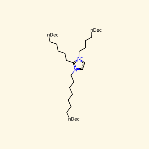 CCCCCCCCCCCCCCCCCn1cc[n+](CCCCCCCCCCCCCC)c1CCCCCCCCCCCCCCC